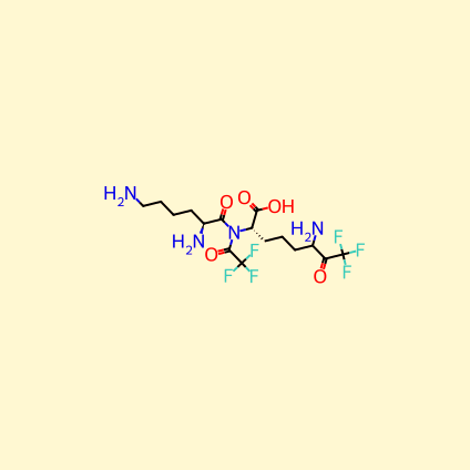 NCCCC[C@H](N)C(=O)N(C(=O)C(F)(F)F)[C@@H](CCCC(N)C(=O)C(F)(F)F)C(=O)O